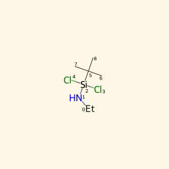 CCN[Si](Cl)(Cl)C(C)(C)C